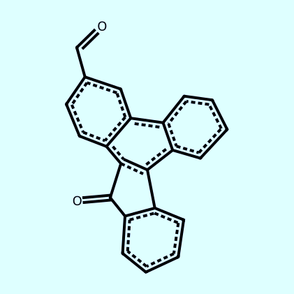 O=Cc1ccc2c3c(c4ccccc4c2c1)-c1ccccc1C3=O